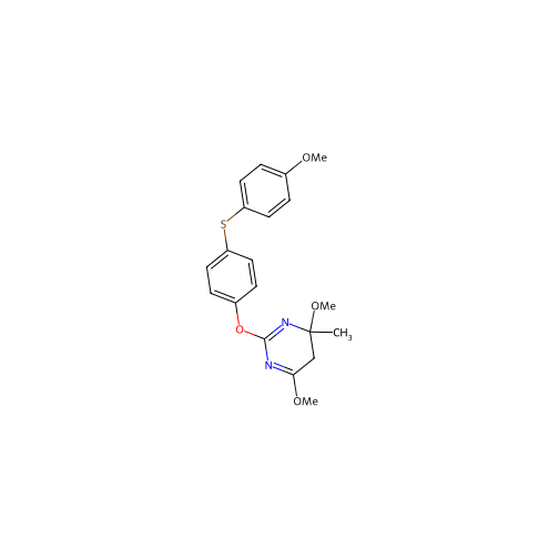 COC1=NC(Oc2ccc(Sc3ccc(OC)cc3)cc2)=NC(C)(OC)C1